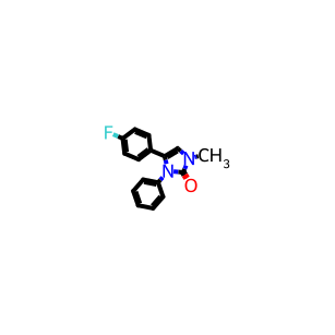 Cn1cc(-c2ccc(F)cc2)n(-c2ccccc2)c1=O